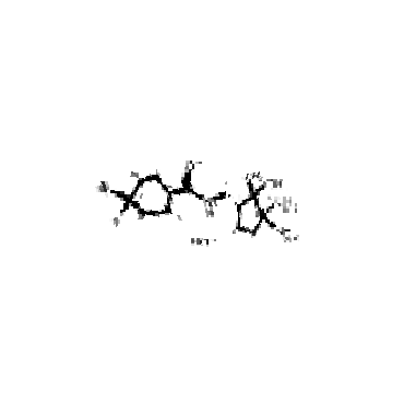 CC1(C)[C@@H](CNC(=O)C2CCC(F)(F)CC2)CC[C@@]1(C)N.Cl